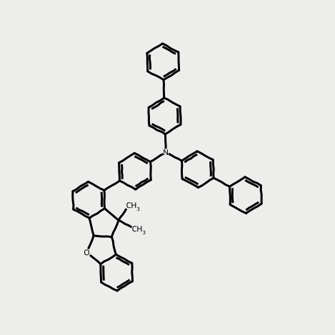 CC1(C)c2c(-c3ccc(N(c4ccc(-c5ccccc5)cc4)c4ccc(-c5ccccc5)cc4)cc3)cccc2C2Oc3ccccc3C21